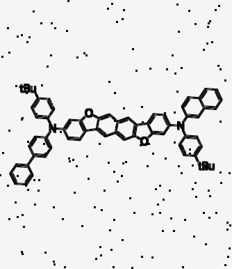 CC(C)(C)c1ccc(N(c2ccc(-c3ccccc3)cc2)c2ccc3c(c2)oc2cc4cc5c(cc4cc23)oc2cc(N(c3ccc(C(C)(C)C)cc3)c3ccc4ccccc4c3)ccc25)cc1